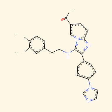 COC(=O)c1ccc2nc(-c3ccc(-n4ccnc4)cc3)c(NCCc3ccc(OC)c(OC)c3)n2c1